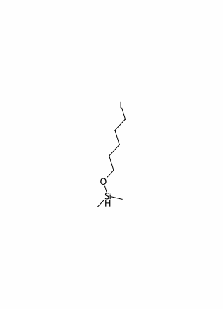 C[SiH](C)OCCCCCI